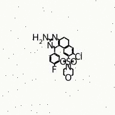 Nc1nc2c(c(-c3ccc(F)cc3)n1)-c1cc(S(=O)(=O)N3CCOCC3)c(Cl)cc1CC2